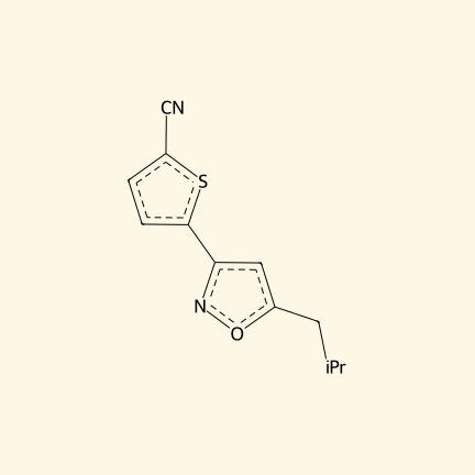 CC(C)Cc1cc(-c2ccc(C#N)s2)no1